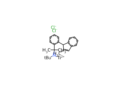 CC1=Cc2ccccc2C1c1ccccc1C(C)(C)[N]([Ti+2])C(C)(C)C.[Cl-].[Cl-]